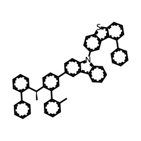 Cc1ccccc1-c1cc(-c2ccc3c(c2)c2ccccc2n3-c2ccc3sc4cccc(-c5ccccc5)c4c3c2)ccc1[C@@H](C)c1ccccc1-c1ccccc1